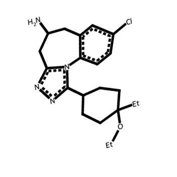 CCOC1(CC)CCC(c2nnc3n2-c2ccc(Cl)cc2CC(N)C3)CC1